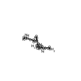 BC(=O)OCc1ccc(NC(=O)CNC(=O)C(NC(=O)OCCN(CCOC=O)SNC(=O)OCCOCCNSNC(=O)OF)C(C)C)cc1